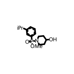 COP(=O)(c1cccc(C(C)C)c1)N1CCC(O)CC1